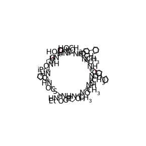 CCNC(=O)[C@@H]1CSCC(=O)N[C@@H](Cc2ccccc2)C(=O)N[C@@H](C(C)C)C(=O)N2CCC[C@H]2C(=O)N[C@@H]([C@@H](C)O)C(=O)N[C@@H]([C@@H](C)O)C(=O)N[C@@H](Cc2ccc(-c3ccccc3)cc2)C(=O)N(C)[C@@H](C)C(=O)N[C@@H](Cc2ccc(-c3ccccc3)cc2)C(=O)N(C)[C@@H](C)C(=O)N[C@@H](C)C(=O)N[C@@H](C)C(=O)N2CCC[C@H]2C(=O)N1